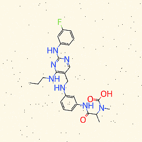 CCCNc1nc(Nc2cccc(F)c2)ncc1CNc1cccc(NC(=O)C(C)N(C)C(=O)O)c1